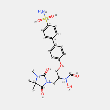 CN1C(=O)N(CC(COc2ccc(-c3ccc(S(N)(=O)=O)cc3)cc2)N(O)C=O)C(=O)C1(C)C